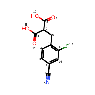 N#Cc1ccc(CC(C(=O)O)C(=O)O)c(Cl)c1